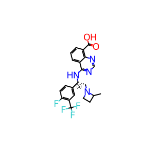 CC1CCN1C[C@@H](Nc1ncnc2c(C(=O)O)cccc12)c1ccc(F)c(C(F)(F)F)c1